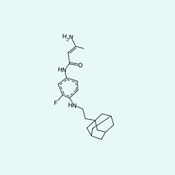 C/C(N)=C\C(=O)Nc1ccc(NCCC23CC4CC(CC(C4)C2)C3)c(F)c1